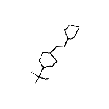 FC(F)(F)C1CCC(CCC2CCCC2)CC1